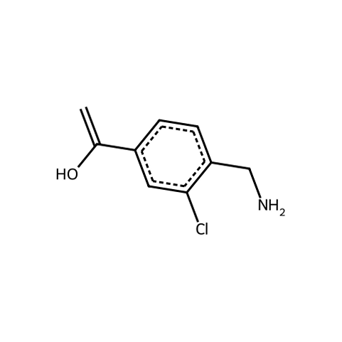 C=C(O)c1ccc(CN)c(Cl)c1